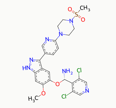 COc1cc2[nH]nc(-c3ccc(N4CCN(S(C)(=O)=O)CC4)nc3)c2cc1O[C@H](N)c1c(Cl)cncc1Cl